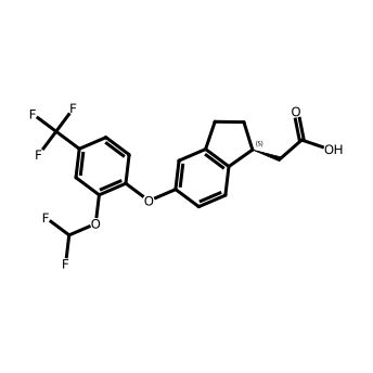 O=C(O)C[C@@H]1CCc2cc(Oc3ccc(C(F)(F)F)cc3OC(F)F)ccc21